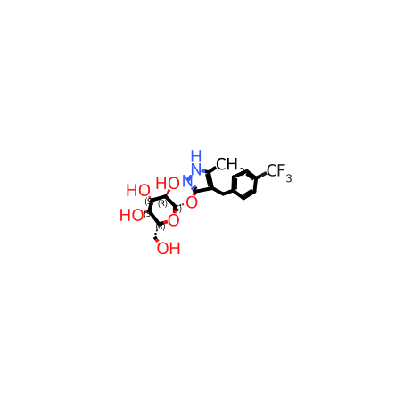 Cc1[nH]nc(O[C@@H]2O[C@H](CO)[C@@H](O)[C@H](O)[C@H]2O)c1Cc1ccc(C(F)(F)F)cc1